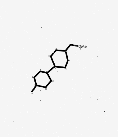 COCC1CCC(C2CCC(C)CC2)CC1